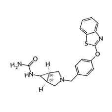 NC(=O)NC1[C@H]2CN(Cc3ccc(Oc4nc5ccccc5s4)cc3)C[C@@H]12